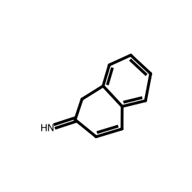 N=C1C=Cc2ccccc2C1